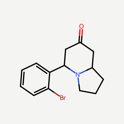 O=C1CC2CCCN2C(c2ccccc2Br)C1